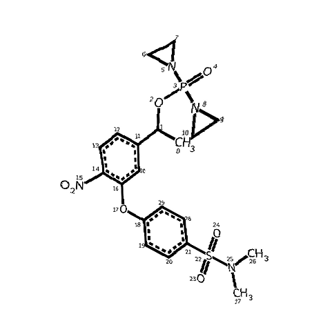 CC(OP(=O)(N1CC1)N1CC1)c1ccc([N+](=O)[O-])c(Oc2ccc(S(=O)(=O)N(C)C)cc2)c1